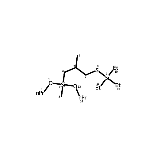 CCCO[Si](C)(CC(C)CS[Si](CC)(CC)CC)OCCC